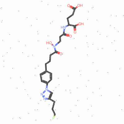 O=C(O)CCC(NC(=O)CCN(O)C(=O)CCCc1ccc(-n2cc(CCCF)nn2)cc1)C(=O)O